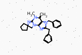 C=C1c2c(nc(Cc3ccccc3)n2Cc2ccccc2)N2CC3(CCCC3)N=C2N1C